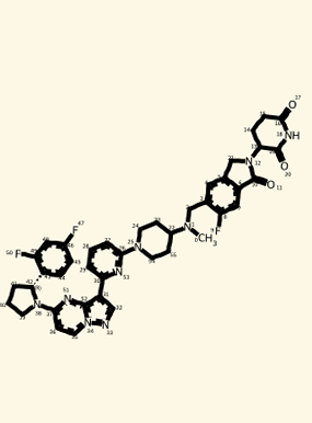 CN(Cc1cc2c(cc1F)C(=O)N(C1CCC(=O)NC1=O)C2)C1CCN(c2cccc(-c3cnn4ccc(N5CCC[C@@H]5c5ccc(F)cc5F)nc34)n2)CC1